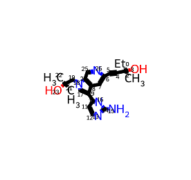 CCC(C)(O)C#Cc1cc2c(-c3ccnc(N)n3)cn(CC(C)(C)O)c2cn1